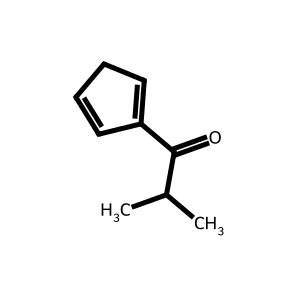 CC(C)C(=O)C1=CCC=C1